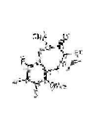 CCOC(=O)C(CC)C(=O)OC=O.COc1c(F)c(F)c(F)c(F)c1F